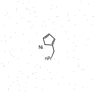 CCCCC1=CC=CC1.[Ni]